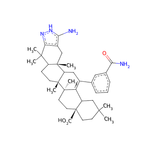 CC1(C)CC[C@]2(C(=O)O)CC[C@]3(C)C(=C(c4cccc(C(N)=O)c4)CC4[C@@]5(C)Cc6c(n[nH]c6N)C(C)(C)C5CC[C@]43C)C2C1